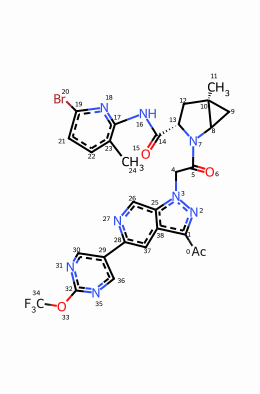 CC(=O)c1nn(CC(=O)N2C3C[C@]3(C)C[C@H]2C(=O)Nc2nc(Br)ccc2C)c2cnc(-c3cnc(OC(F)(F)F)nc3)cc12